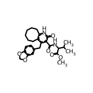 COC(=O)C(NC(=O)c1c(Cc2ccc3c(c2)OCO3)c2c([nH]c1=O)CCCCCC2)C(C)C